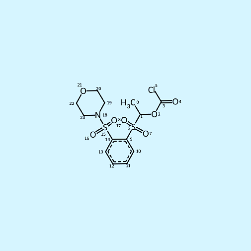 CC(OC(=O)Cl)S(=O)(=O)c1ccccc1S(=O)(=O)N1CCOCC1